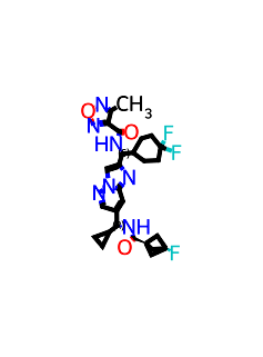 Cc1nonc1C(=O)N[C@H](c1cn2ncc([C@H](NC(=O)[C@]34C[C@](F)(C3)C4)C3CC3)cc2n1)C1CCC(F)(F)CC1